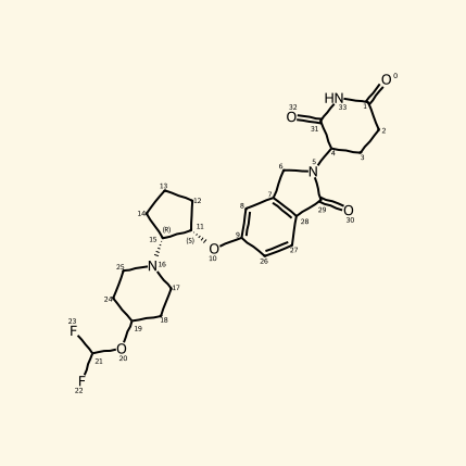 O=C1CCC(N2Cc3cc(O[C@H]4CCC[C@H]4N4CCC(OC(F)F)CC4)ccc3C2=O)C(=O)N1